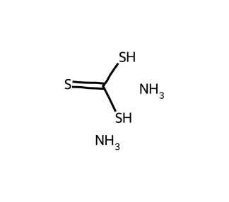 N.N.S=C(S)S